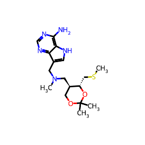 CSC[C@@H]1OC(C)(C)OC[C@H]1CN(C)Cc1c[nH]c2c(N)ncnc12